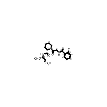 O=C[C@H](CC(=O)O)NC(=O)[C@@H]1CCCCN1C(=O)CNC(=O)c1ccccc1Cl